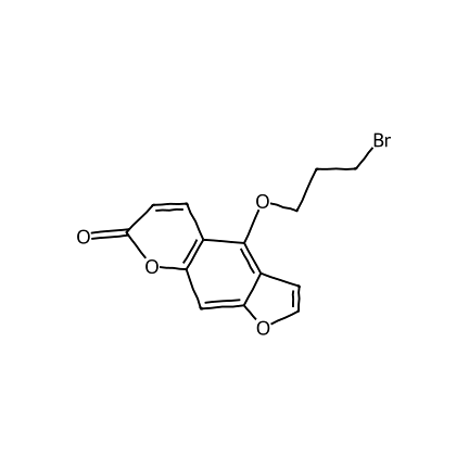 O=c1ccc2c(OCCCBr)c3ccoc3cc2o1